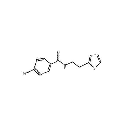 CC(C)c1ccc(C(=O)NCCc2cccs2)cc1